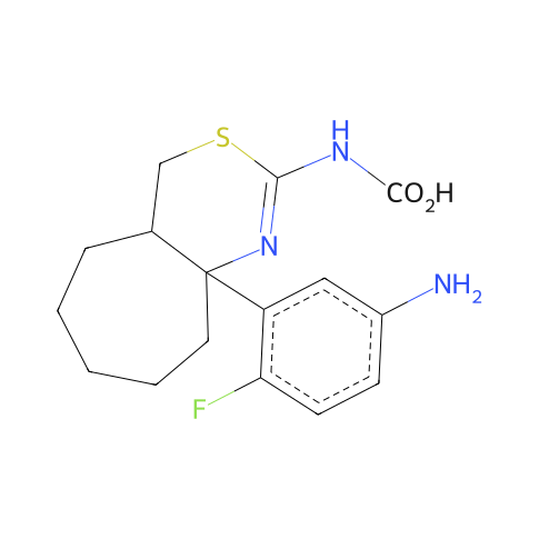 Nc1ccc(F)c(C23CCCCCC2CSC(NC(=O)O)=N3)c1